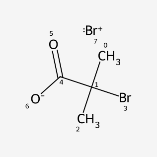 CC(C)(Br)C(=O)[O-].[Br+]